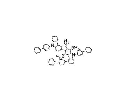 Bc1c(-c2ccc3c(c2)c2ccccc2n3-c2ccc(-c3ccccc3)cc2)c(B)c2c3c(-c4ccc(-c5ccccc5)cc4)cccc3n(-c3ccc(-c4ccccc4)cc3)c2c1B